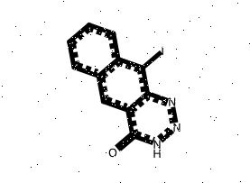 O=c1[nH]nnc2c(I)c3ccccc3cc12